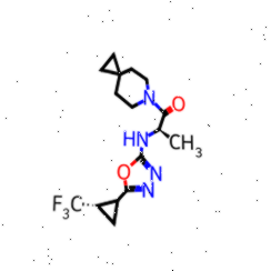 C[C@@H](Nc1nnc(C2C[C@@H]2C(F)(F)F)o1)C(=O)N1CCC2(CC1)CC2